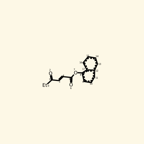 CCC(=O)C=CC(=O)Oc1cccc2ccccc12